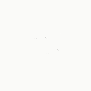 O=C1CCN(C(=O)O)CC(NC(=O)OCc2ccccc2)C1